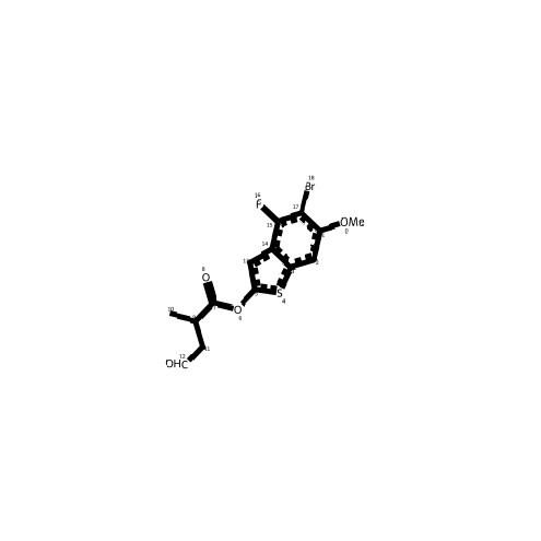 COc1cc2sc(OC(=O)C(C)CC=O)cc2c(F)c1Br